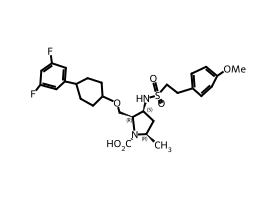 COc1ccc(CCS(=O)(=O)N[C@H]2C[C@@H](C)N(C(=O)O)[C@H]2COC2CCC(c3cc(F)cc(F)c3)CC2)cc1